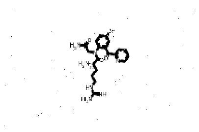 N=C(N)NCCC[C@H](N)C(=O)N(CC(N)=O)c1ccc(Br)cc1C(=O)c1ccccn1